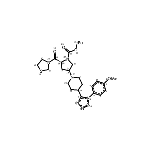 COc1ccc(-n2nnnc2C2CCN([C@H]3C[C@@H](C(=O)N4CCSC4)N(C(=O)OC(C)(C)C)C3)CC2)cc1